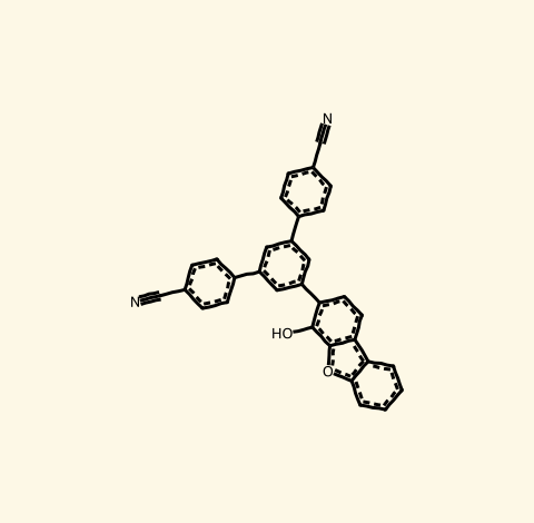 N#Cc1ccc(-c2cc(-c3ccc(C#N)cc3)cc(-c3ccc4c(oc5ccccc54)c3O)c2)cc1